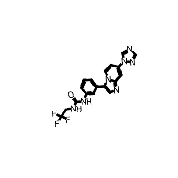 O=C(NCC(F)(F)F)Nc1cccc(-c2cnc3cc(-n4cncn4)ccn23)c1